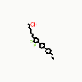 C=CCc1ccc(-c2ccc(-c3ccc(C=CCCCC(C)O)c(F)c3F)cc2)cc1